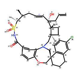 C=CC[C@]1(O)/C=C/C[C@H](C)[C@@H](C)S(=O)(=O)NC(=O)c2ccc3c(c2)N(C[C@@H]2CC[C@H]21)C[C@@]1(CCCc2cc(Cl)ccc21)CO3